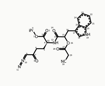 CC(C)OC(=O)[C@H](CCC(=O)C=[N+]=[N-])NC(=O)C(Cc1c[nH]c2ccccc12)OC(=O)CC#N